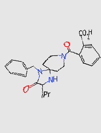 CC(C)C1NC2(CCN(C(=O)c3ccccc3C(=O)O)CC2)N(Cc2ccccc2)C1=O